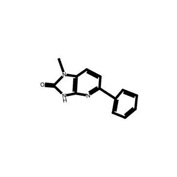 Cn1c(=O)[nH]c2nc(-c3ccccc3)ccc21